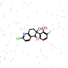 CC1(c2cccc(F)c2O)CCc2nc(Cl)ccc2C1=O